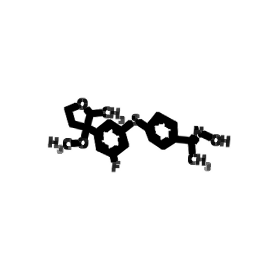 COC1(c2cc(F)cc(Sc3ccc(C(C)=NO)cc3)c2)CCOC1C